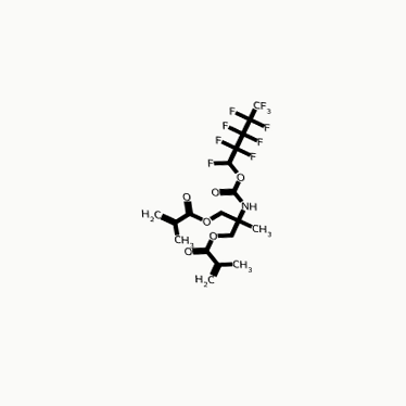 C=C(C)C(=O)OCC(C)(COC(=O)C(=C)C)NC(=O)OC(F)C(F)(F)C(F)(F)C(F)(F)C(F)(F)F